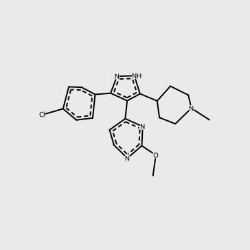 COc1nccc(-c2c(-c3ccc(Cl)cc3)n[nH]c2C2CCN(C)CC2)n1